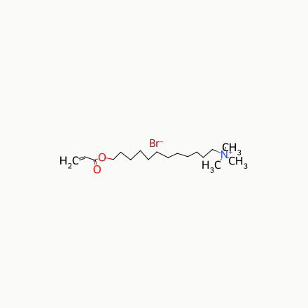 C=CC(=O)OCCCCCCCCCCCC[N+](C)(C)C.[Br-]